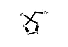 CC(C)CC1(C(C)C)N=NN=N1